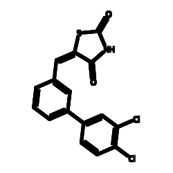 O=C1NC(=O)/C(=C\c2cccc(-c3ccc(Cl)c(Cl)c3)c2)S1